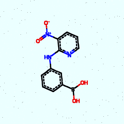 O=[N+]([O-])c1cccnc1Nc1cccc(B(O)O)c1